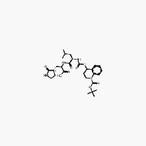 CC(C)CC(NC(=O)OC1CCN(C(=O)OC(C)(C)C)c2ccccc21)C(=O)NC(C[C@@H]1CCNC1=O)C(=O)O